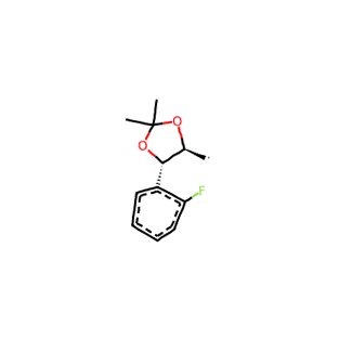 [CH2][C@@H]1OC(C)(C)O[C@H]1c1ccccc1F